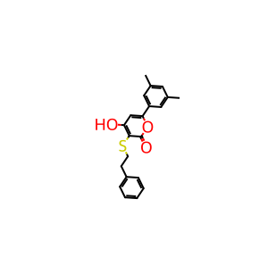 Cc1cc(C)cc(-c2cc(O)c(SCCc3ccccc3)c(=O)o2)c1